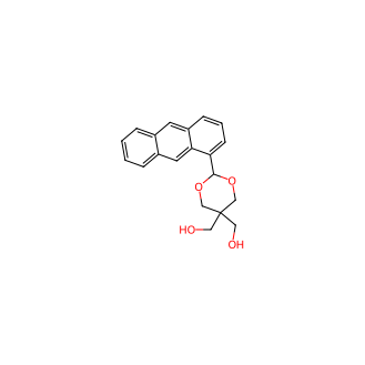 OCC1(CO)COC(c2cccc3cc4ccccc4cc23)OC1